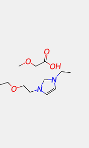 CCOCCN1C=CN(CC)C1.COCC(=O)O